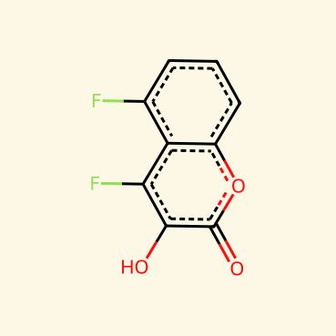 O=c1oc2cccc(F)c2c(F)c1O